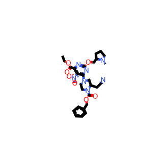 CCOC(=O)c1nc(OCC2CCCN2C)nc(N2CCN(C(=O)OCc3ccccc3)C(CC#N)C2)c1[N+](=O)[O-]